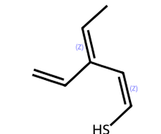 C=CC(/C=C\S)=C/C